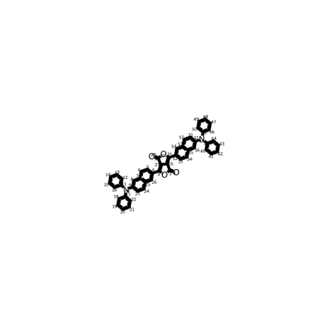 O=C1OC(c2ccc3cc(N(c4ccccc4)c4ccccc4)ccc3c2)=C2C(=O)OC(c3ccc4cc(N(c5ccccc5)c5ccccc5)ccc4c3)=C12